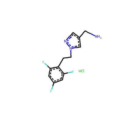 Cl.NCc1cnn(CCc2c(F)cc(F)cc2F)c1